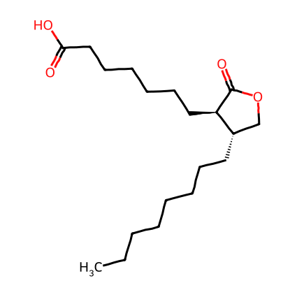 CCCCCCCC[C@H]1COC(=O)[C@@H]1CCCCCCC(=O)O